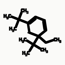 CCC1(C(C)(C)C)[CH]C(C(C)(C)C)=CC=C1